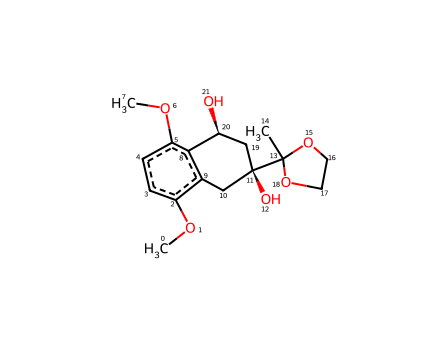 COc1ccc(OC)c2c1C[C@@](O)(C1(C)OCCO1)C[C@@H]2O